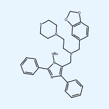 CCCCn1c(-c2ccccc2)nc(-c2ccccc2)c1CN(CCN1CCSCC1)Cc1ccc2c(c1)OCO2